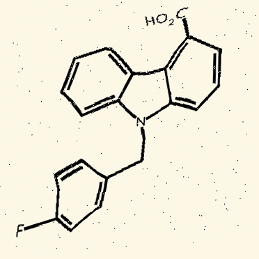 O=C(O)c1cccc2c1c1ccccc1n2Cc1ccc(F)cc1